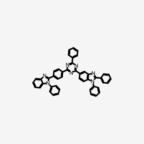 c1ccc(-c2nc(-c3ccc(-c4nc5ccccc5n4-c4ccccc4)cc3)nc(-c3ccc4c(c3)nc(-c3ccccc3)n4-c3ccccc3)n2)cc1